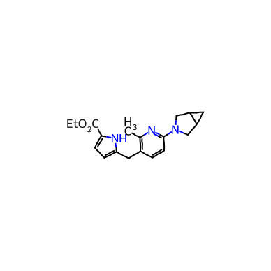 CCOC(=O)c1ccc(Cc2ccc(N3CC4CC4C3)nc2C)[nH]1